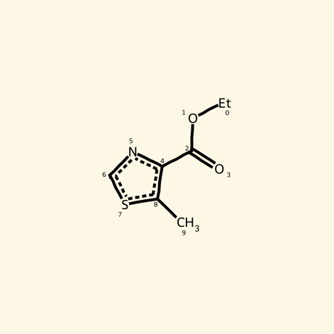 CCOC(=O)c1n[c]sc1C